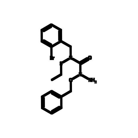 CCSN(Cc1ccccc1Br)C(=O)N(N)OCc1ccccc1